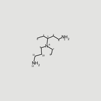 CCC(CCN)N(CC)CCCN